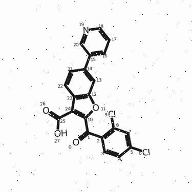 O=C(c1ccc(Cl)cc1Cl)c1oc2cc(-c3cccnc3)ccc2c1C(=O)O